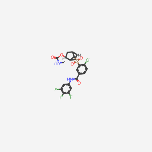 O=C1NC[C@@]2(CC3CCC2[C@@H]3S(=O)(=O)c2cc(C(=O)Nc3cc(F)c(F)c(F)c3)ccc2Cl)O1